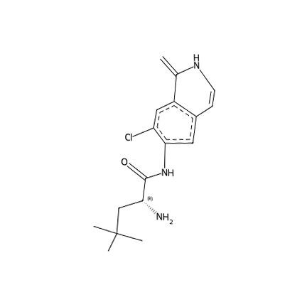 C=C1NC=Cc2cc(NC(=O)[C@H](N)CC(C)(C)C)c(Cl)cc21